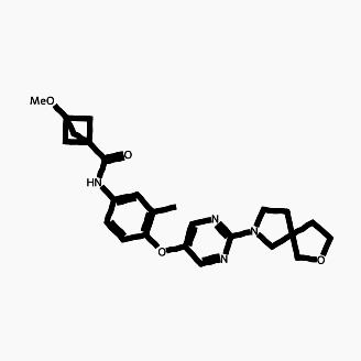 COC12CC(C(=O)Nc3ccc(Oc4cnc(N5CCC6(CCOC6)C5)nc4)c(C)c3)(C1)C2